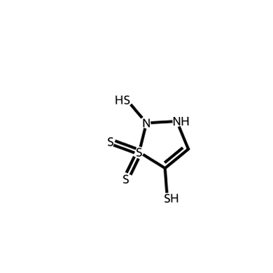 S=S1(=S)C(S)=CNN1S